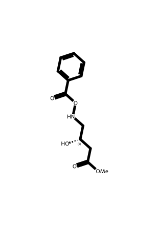 COC(=O)C[C@H](O)CNOC(=O)c1ccccc1